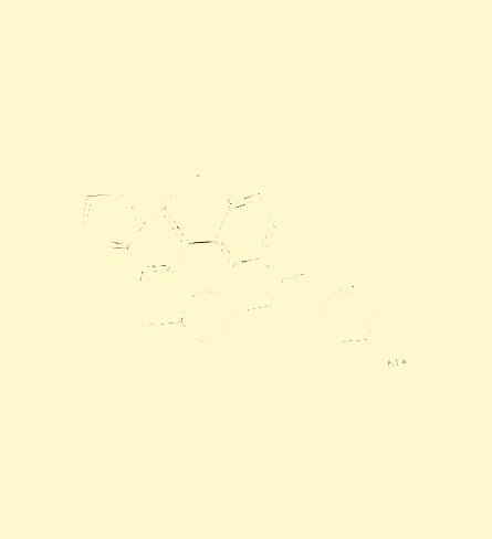 COc1ccc(CN(Cc2ccc(OC)cc2)c2cc(C)c(C(F)(F)F)c(-c3nc(Cl)c4cncnc4c3F)n2)cc1